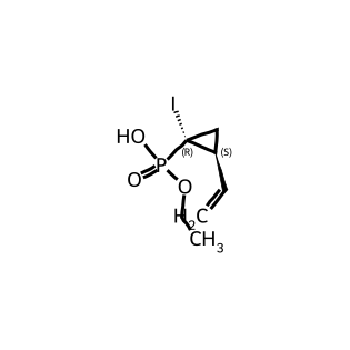 C=C[C@@H]1C[C@]1(I)P(=O)(O)OCC